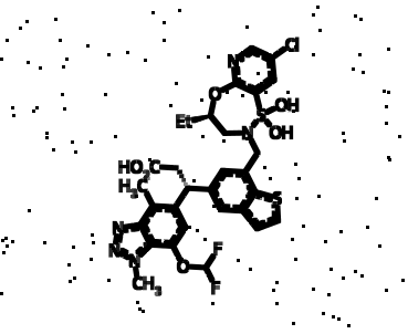 CC[C@@H]1CN(Cc2cc([C@@H](CC(=O)O)c3cc(OC(F)F)c4c(nnn4C)c3C)cc3ccsc23)S(O)(O)c2cc(Cl)cnc2O1